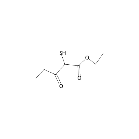 CCOC(=O)C(S)C(=O)CC